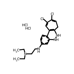 CCN(CC)CCNc1ccc2c(c1)NNC1=C2C=C(Cl)C(Cl)=CC1.Cl.Cl